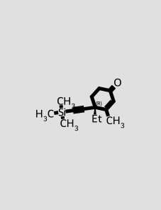 CC[C@@]1(C#C[Si](C)(C)C)CCC(=O)C=C1C